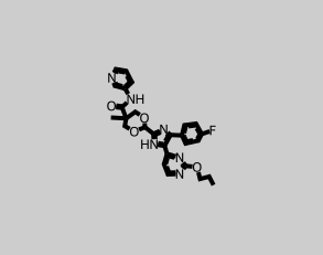 CCCOc1nccc(-c2[nH]c(C3OCC(C)(C(=O)Nc4cccnc4)CO3)nc2-c2ccc(F)cc2)n1